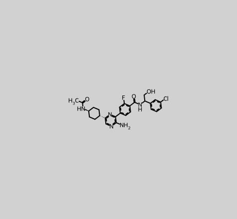 CC(=O)N[C@H]1CC[C@H](c2cnc(N)c(-c3ccc(C(=O)NC(CO)c4cccc(Cl)c4)c(F)c3)n2)CC1